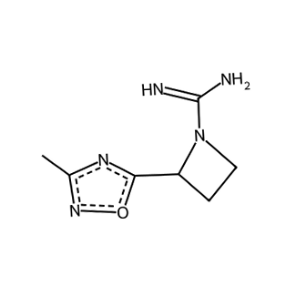 Cc1noc(C2CCN2C(=N)N)n1